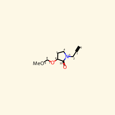 C#CCN1CCC(OCOC)C1=O